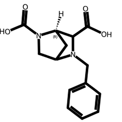 O=C(O)C1[C@H]2CC(CN2C(=O)O)N1Cc1ccccc1